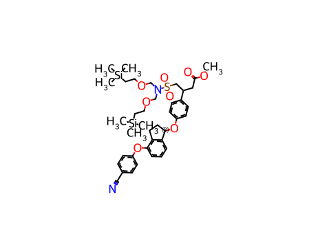 COC(=O)CC(CS(=O)(=O)N(COCC[Si](C)(C)C)COCC[Si](C)(C)C)c1ccc(O[C@@H]2CCc3c(Oc4ccc(C#N)cc4)cccc32)cc1